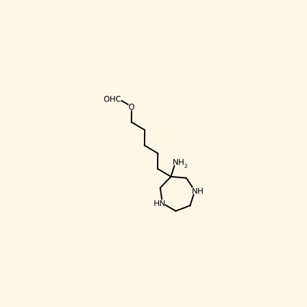 NC1(CCCCCOC=O)CNCCNC1